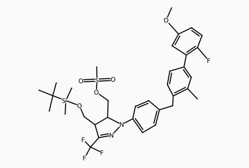 COc1ccc(F)c(-c2ccc(Cc3ccc(N4N=C(C(F)(F)F)C(CO[Si](C)(C)C(C)(C)C)C4COS(C)(=O)=O)cc3)c(C)c2)c1